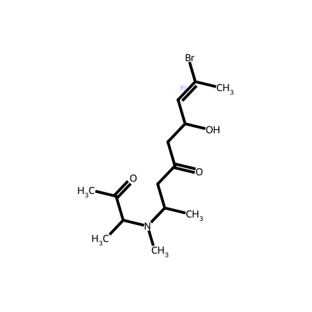 CC(=O)C(C)N(C)C(C)CC(=O)CC(O)/C=C(\C)Br